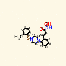 Cc1ccccc1SN1CCN(c2ccccc2/C=C/C(=O)NO)CC1